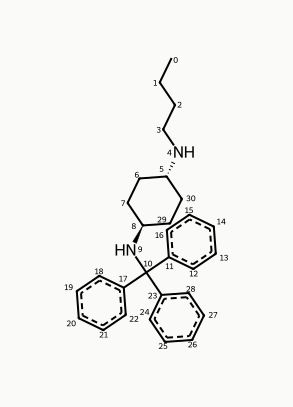 CCCCN[C@H]1CC[C@H](NC(c2ccccc2)(c2ccccc2)c2ccccc2)CC1